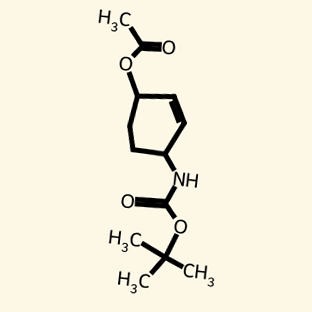 CC(=O)OC1C=CC(NC(=O)OC(C)(C)C)CC1